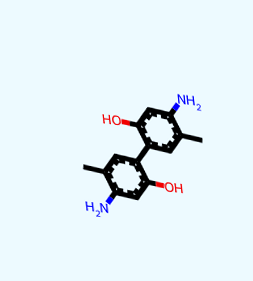 Cc1cc(-c2cc(C)c(N)cc2O)c(O)cc1N